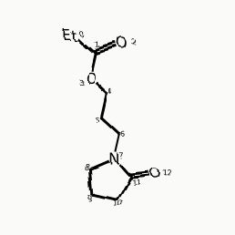 CCC(=O)OCCCN1CCCC1=O